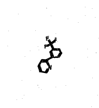 FC(F)(F)c1cccc(-c2cc[c]cn2)c1